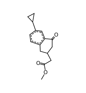 COC(=O)CC1CC(=O)c2cc(C3CC3)ccc2C1